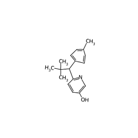 Cc1ccc(C(c2ccc(O)cn2)C(C)(C)C)cc1